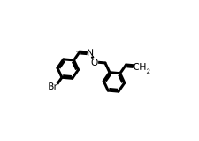 C=Cc1ccccc1CO/N=[C]\c1ccc(Br)cc1